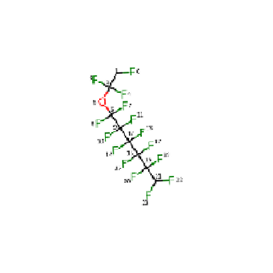 FCC(F)(F)OC(F)(F)C(F)(F)C(F)(F)C(F)(F)C(F)(F)C(F)F